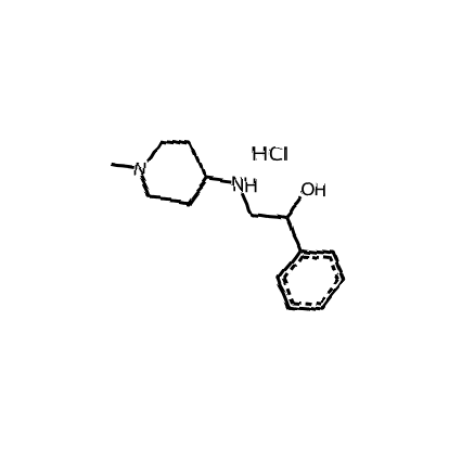 CN1CCC(NCC(O)c2ccccc2)CC1.Cl